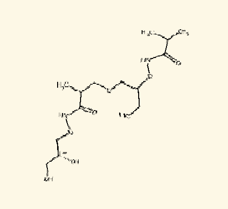 CC(C)C(=O)NOC(CO)COCC(C)C(=O)NOC[C@H](O)CO